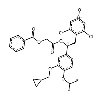 O=C(COC(=O)c1ccccc1)O[C@@H](Cc1c(Cl)c[n+]([O-])cc1Cl)c1ccc(OC(F)F)c(OCC2CC2)c1